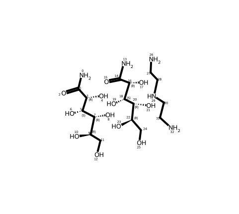 NC(=O)[C@H](O)[C@@H](O)[C@H](O)[C@H](O)CO.NC(=O)[C@H](O)[C@@H](O)[C@H](O)[C@H](O)CO.NCCNCCN